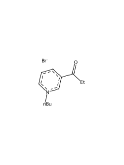 CCCC[n+]1cccc(C(=O)CC)c1.[Br-]